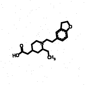 CCC1CC(CC(=O)O)CCN1CCc1ccc2c(c1)CCO2